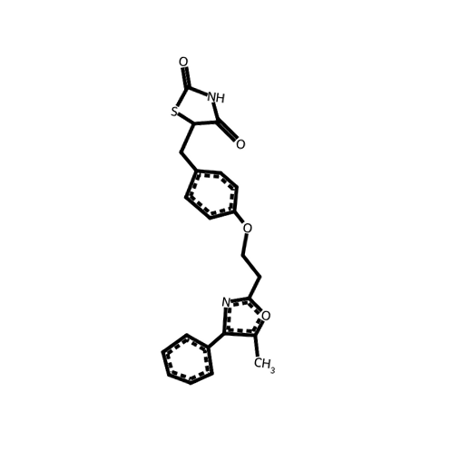 Cc1oc(CCOc2ccc(CC3SC(=O)NC3=O)cc2)nc1-c1ccccc1